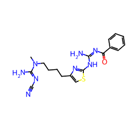 CN(CCCCc1csc(NC(N)=NC(=O)c2ccccc2)n1)C(N)=NC#N